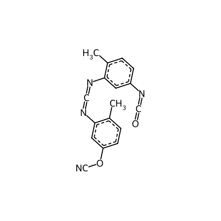 Cc1ccc(N=C=O)cc1N=C=Nc1cc(OC#N)ccc1C